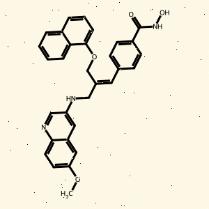 COc1ccc2ncc(NCC(=Cc3ccc(C(=O)NO)cc3)COc3cccc4ccccc34)cc2c1